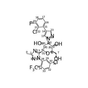 Cc1nc([C@@H]2O[C@H](CO)[C@H](O)[C@H](n3cc(-c4cccc(F)c4Cl)cn3)[C@H]2O)n(-c2cc(Cl)ccc2C(F)(F)F)n1